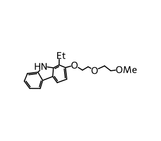 CCc1c(OCCOCCOC)ccc2c1[nH]c1ccccc12